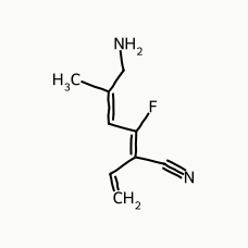 C=C/C(C#N)=C(F)\C=C(\C)CN